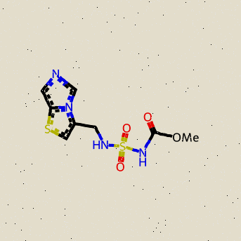 COC(=O)NS(=O)(=O)NCc1csc2cncn12